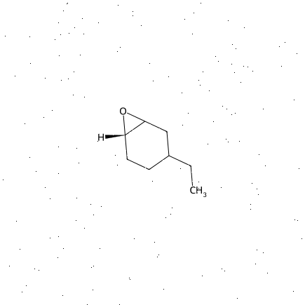 CCC1CC[C@@H]2OC2C1